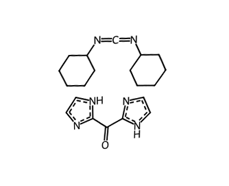 C(=NC1CCCCC1)=NC1CCCCC1.O=C(c1ncc[nH]1)c1ncc[nH]1